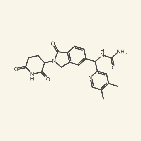 Cc1cnc(C(NC(N)=O)c2ccc3c(c2)CN(C2CCC(=O)NC2=O)C3=O)cc1C